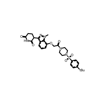 Cn1nc(C2CCC(=O)NC2=O)c2cccc(OCC(=O)N3CCN(S(=O)(=O)c4ccc(C(C)(C)C)cc4)CC3)c21